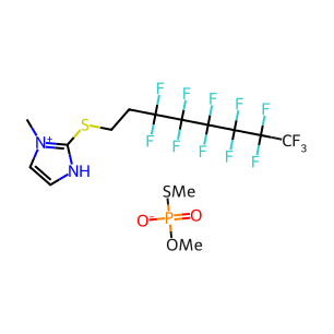 COP(=O)([O-])SC.C[n+]1cc[nH]c1SCCC(F)(F)C(F)(F)C(F)(F)C(F)(F)C(F)(F)C(F)(F)F